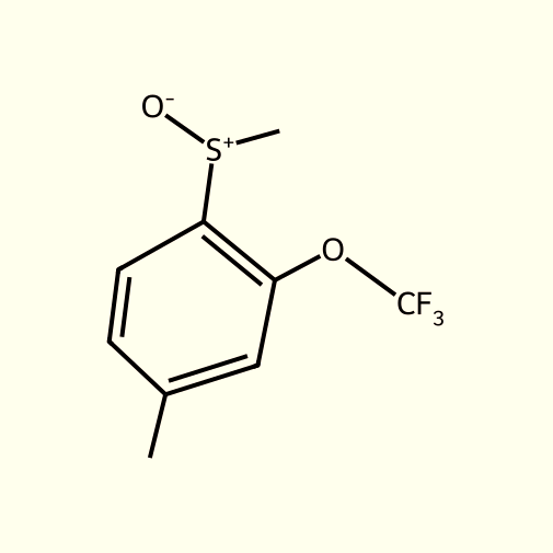 Cc1ccc([S+](C)[O-])c(OC(F)(F)F)c1